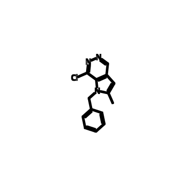 Cc1cc2cnnc(Cl)c2n1Cc1ccccc1